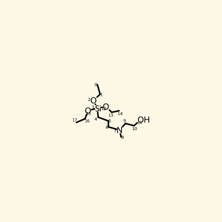 CCO[Si](CCCN(C)CCO)(OCC)OCC